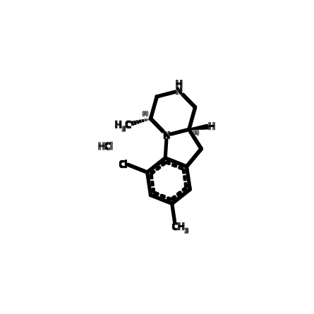 Cc1cc(Cl)c2c(c1)C[C@H]1CNC[C@@H](C)N21.Cl